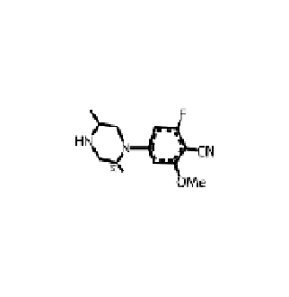 COc1cc(N2CC(C)NC[C@@H]2C)cc(F)c1C#N